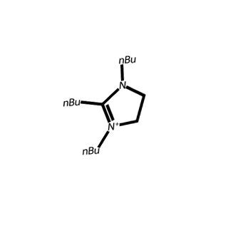 CCCCC1=[N+](CCCC)CCN1CCCC